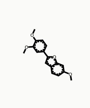 COc1ccc2cc(-c3ccc(OC)c(OC)c3)oc2c1